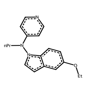 CCCN(c1ccncc1)n1ccc2cc(OCC)ccc21